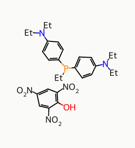 CCN(CC)c1ccc(P(CC)c2ccc(N(CC)CC)cc2)cc1.O=[N+]([O-])c1cc([N+](=O)[O-])c(O)c([N+](=O)[O-])c1